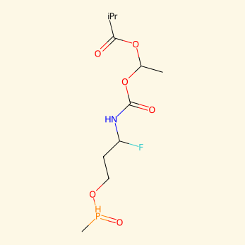 CC(OC(=O)NC(F)CCO[PH](C)=O)OC(=O)C(C)C